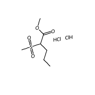 CCCC(C(=O)OC)S(C)(=O)=O.Cl.Cl